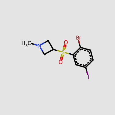 CN1CC(S(=O)(=O)c2cc(I)ccc2Br)C1